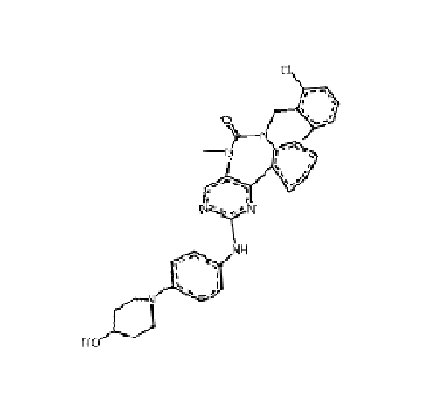 Cc1cccc(Cl)c1CN1C(=O)N(C)c2cnc(Nc3ccc(N4CCC(O)CC4)cc3)nc2-c2ccccc21